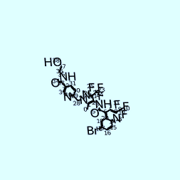 Cc1c(NC(=O)c2cc(C(F)(F)F)nc3ccc(Br)cc23)c(C(F)(F)F)nn1Cc1ccc(C(=O)NCCO)cn1